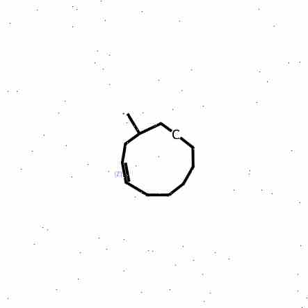 [CH2]C1C/C=C\CCCCCCC1